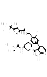 CC[C@H]1CC[C@@H](NC(=O)N(C)C)CN1c1n[nH]c2nccc(-c3ccc(CNC(=O)c4cc(C(C)(C)C)on4)c(F)c3)c12